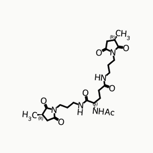 CC(=O)N[C@@H](CCC(=O)NCCCN1C(=O)C[C@@H](C)C1=O)C(=O)NCCCN1C(=O)C[C@@H](C)C1=O